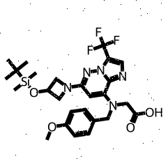 COc1ccc(CN(CC(=O)O)c2cc(N3CC(O[Si](C)(C)C(C)(C)C)C3)nn3c(C(F)(F)F)cnc23)cc1